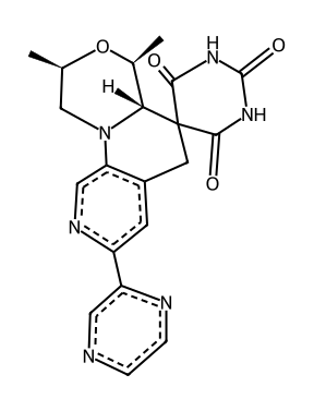 C[C@@H]1CN2c3cnc(-c4cnccn4)cc3CC3(C(=O)NC(=O)NC3=O)[C@H]2[C@H](C)O1